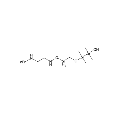 CCCNCCNO[SiH2]CO[Si](C)(C)[Si](C)(C)O